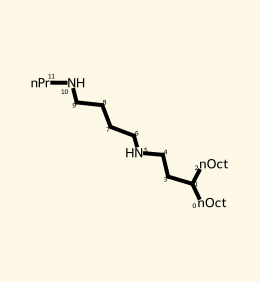 CCCCCCCCC(CCCCCCCC)CCNCCCCNCCC